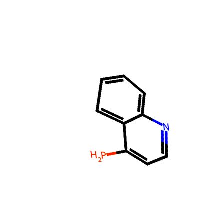 Pc1ccnc2ccccc12